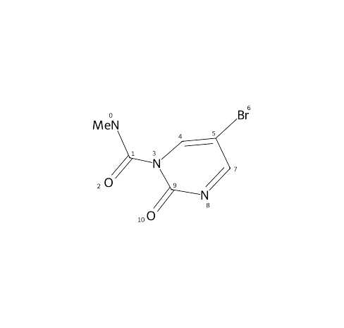 CNC(=O)n1cc(Br)cnc1=O